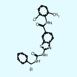 CC[C@@H](NC(=O)Nc1nc2ccc(C(=O)Nc3c(C)cccc3Cl)cc2s1)c1ccccc1